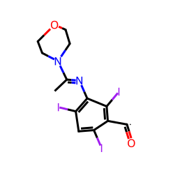 C/C(=N\c1c(I)cc(I)c([C]=O)c1I)N1CCOCC1